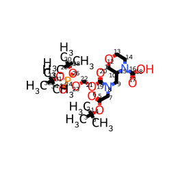 CC(C)(C)OC(=O)CN(CC1COCCN1C(=O)O)C(=O)OCOP(=O)(OC(C)(C)C)OC(C)(C)C